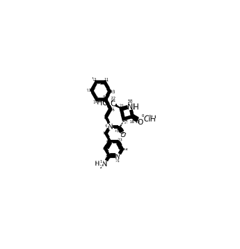 Cl.Nc1cc(CN(CCC2CCCCC2)C(=O)[C@H]2C(=O)N[C@@H]2C(=O)O)ccn1